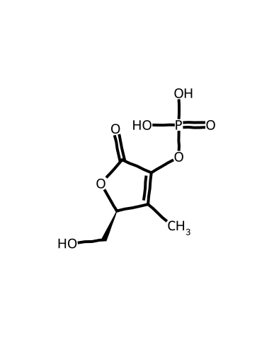 CC1=C(OP(=O)(O)O)C(=O)O[C@@H]1CO